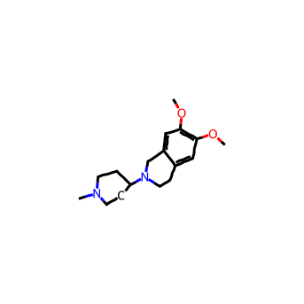 COc1cc2c(cc1OC)CN(C1CCN(C)CC1)CC2